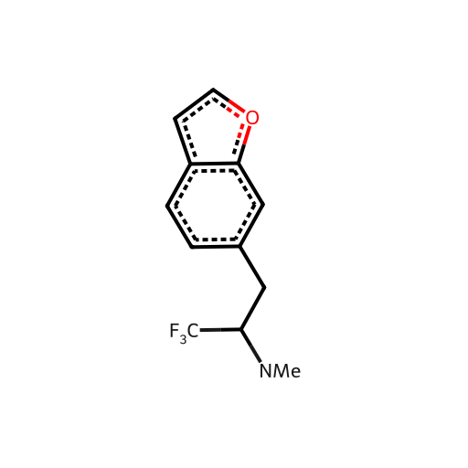 CNC(Cc1ccc2ccoc2c1)C(F)(F)F